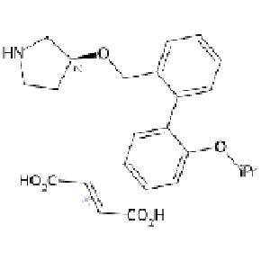 CC(C)Oc1ccccc1-c1ccccc1CO[C@H]1CCNC1.O=C(O)/C=C/C(=O)O